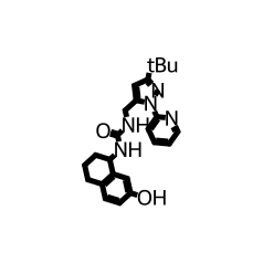 CC(C)(C)c1cc(CNC(=O)NC2CCCc3ccc(O)cc32)n(-c2ccccn2)n1